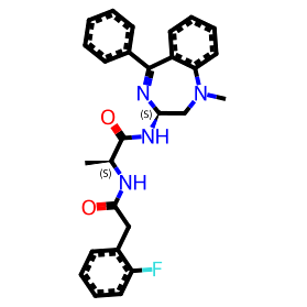 C[C@H](NC(=O)Cc1ccccc1F)C(=O)N[C@@H]1CN(C)c2ccccc2C(c2ccccc2)=N1